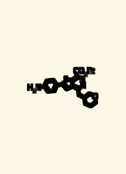 CCOC(=O)c1nnc(CC2CCCOC2)c2cc(-c3ccc(N)cc3)sc12